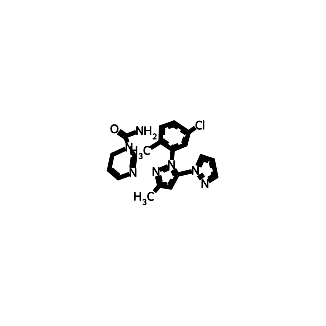 Cc1cc(-n2cccn2)n(-c2cc(Cl)ccc2C)n1.NC(=O)N1C=NC=CC1